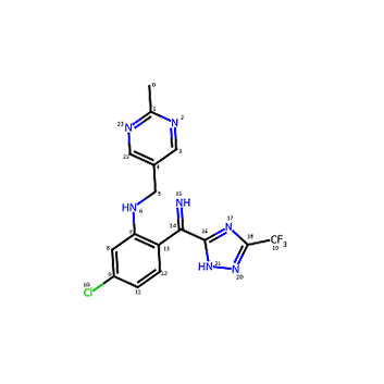 Cc1ncc(CNc2cc(Cl)ccc2C(=N)c2nc(C(F)(F)F)n[nH]2)cn1